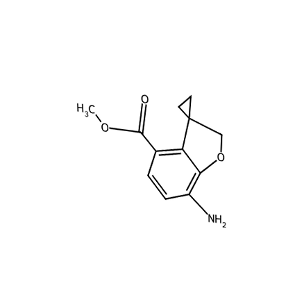 COC(=O)c1ccc(N)c2c1C1(CC1)CO2